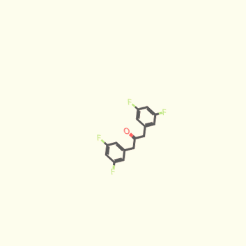 O=C(Cc1cc(F)cc(F)c1)Cc1cc(F)cc(F)c1